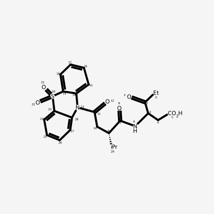 CCC(=O)C(CC(=O)O)NC(=O)[C@@H](CC(=O)N1c2ccccc2S(=O)(=O)c2ccccc21)C(C)C